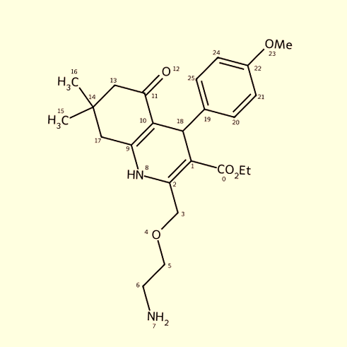 CCOC(=O)C1=C(COCCN)NC2=C(C(=O)CC(C)(C)C2)C1c1ccc(OC)cc1